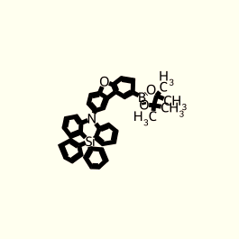 CC1(C)OB(c2ccc3oc4ccc(N5c6ccccc6[Si](c6ccccc6)(c6ccccc6)c6ccccc65)cc4c3c2)OC1(C)C